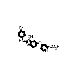 Cn1c(Nc2ccc(Br)cc2)nc2ccc(Oc3ccnc(C(=O)O)c3)cc21